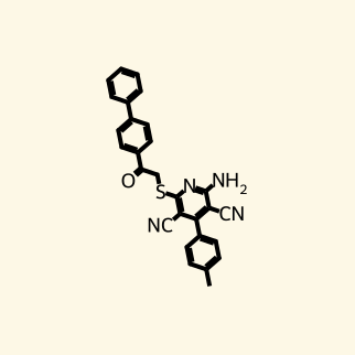 Cc1ccc(-c2c(C#N)c(N)nc(SCC(=O)c3ccc(-c4ccccc4)cc3)c2C#N)cc1